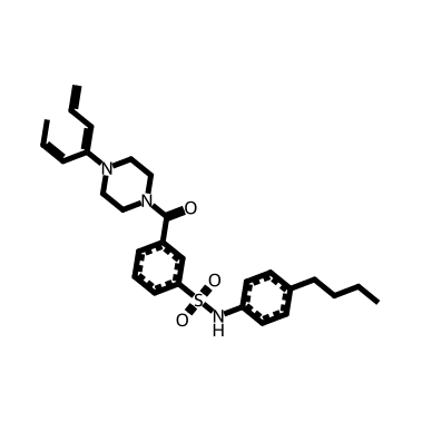 C=C/C=C(\C=C/C)N1CCN(C(=O)c2cccc(S(=O)(=O)Nc3ccc(CCCC)cc3)c2)CC1